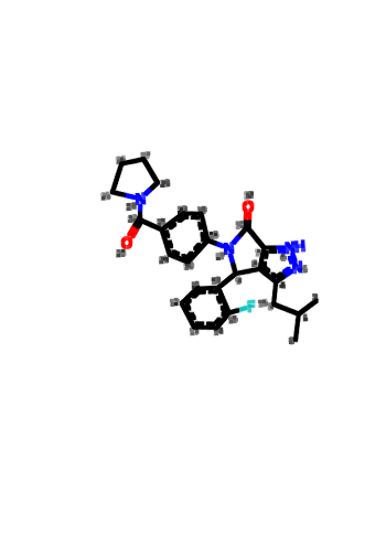 CC(C)Cc1n[nH]c2c1C(c1ccccc1F)N(c1ccc(C(=O)N3CCCC3)cc1)C2=O